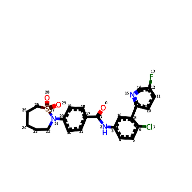 O=C(Nc1ccc(Cl)c(-c2ccc(F)cn2)c1)c1ccc(N2CCCCCS2(=O)=O)cc1